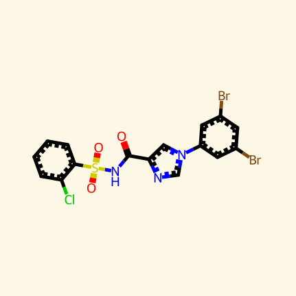 O=C(NS(=O)(=O)c1ccccc1Cl)c1cn(-c2cc(Br)cc(Br)c2)cn1